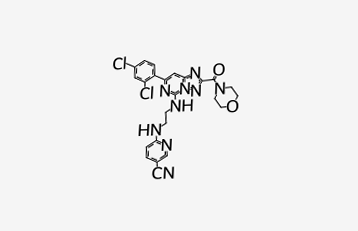 N#Cc1ccc(NCCNc2nc(-c3ccc(Cl)cc3Cl)cc3nc(C(=O)N4CCOCC4)nn23)nc1